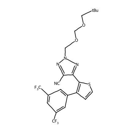 CC(C)(C)COCOCn1nc(C#N)c(-c2sccc2-c2cc(C(F)(F)F)cc(C(F)(F)F)c2)n1